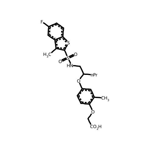 CCCC(CNS(=O)(=O)c1sc2ccc(F)cc2c1C)Oc1ccc(OCC(=O)O)c(C)c1